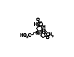 C[C@]12CCC(=O)C=C1CC(SCCC(=O)O)[C@@H]1[C@H]2CC[C@]2(C)C(=O)CC[C@@H]12